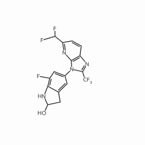 OC1Cc2cc(-n3c(C(F)(F)F)nc4ccc(C(F)F)nc43)cc(F)c2N1